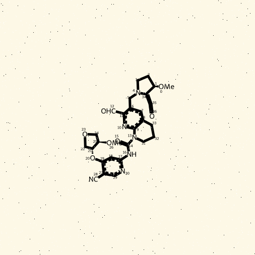 CO[C@@H]1CCN(Cc2cc3c(nc2C=O)N(C(=O)Nc2cc(O[C@@H]4COC[C@H]4OC)c(C#N)cn2)CCC3)C1=C=O